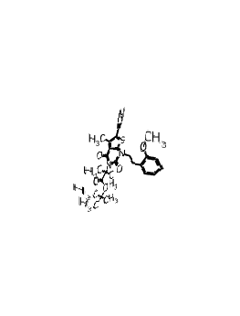 COc1ccccc1CCn1c(=O)n(C(C)(C)C(=O)OC(C)(C)C)c(=O)c2c(C)c(C#N)sc21